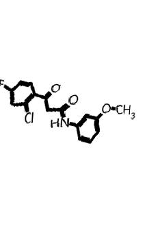 COc1cccc(NC(=O)CC(=O)c2ccc(F)cc2Cl)c1